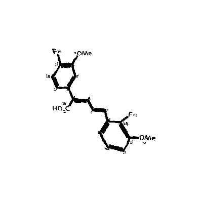 COc1cc(C(=CC=Cc2cccc(OC)c2F)C(=O)O)ccc1F